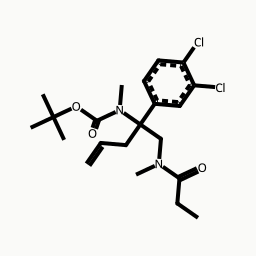 C=CCC(CN(C)C(=O)CC)(c1ccc(Cl)c(Cl)c1)N(C)C(=O)OC(C)(C)C